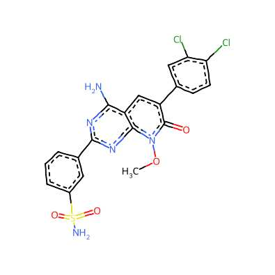 COn1c(=O)c(-c2ccc(Cl)c(Cl)c2)cc2c(N)nc(-c3cccc(S(N)(=O)=O)c3)nc21